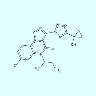 CCC(C)n1c(=O)c2c(-c3noc(C4(O)CC4)n3)ncn2c2ccc(Cl)cc21